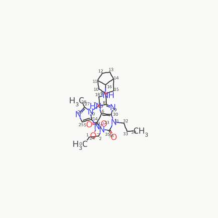 CCCn1c(=O)c2[nH]c(C3CC4CCC(C3)C4NCCn3c([N+](=O)[O-])cnc3C)nc2n(CCC)c1=O